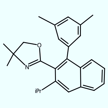 Cc1cc(C)cc(-c2c(C3=NC(C)(C)CO3)c(C(C)C)cc3ccccc23)c1